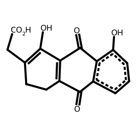 O=C(O)CC1=C(O)C2=C(CC1)C(=O)c1cccc(O)c1C2=O